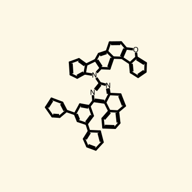 c1ccc(-c2cc(-c3ccccc3)cc(-c3nc(-n4c5ccccc5c5cc6ccc7oc8ccccc8c7c6cc54)nc4ccc5ccccc5c34)c2)cc1